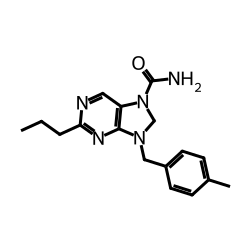 CCCc1ncc2c(n1)N(Cc1ccc(C)cc1)CN2C(N)=O